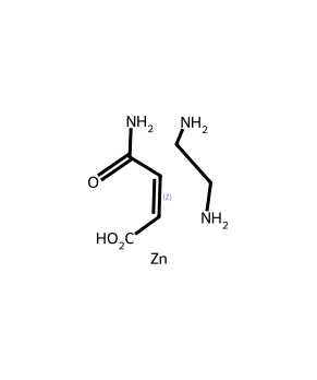 NC(=O)/C=C\C(=O)O.NCCN.[Zn]